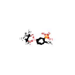 Cc1ccc(B2OC(C)(C)C(C)(C)O2)cc1P(=O)(O)O